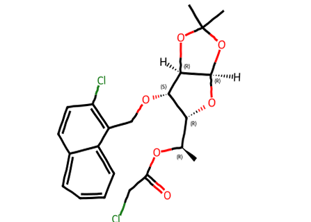 C[C@@H](OC(=O)CCl)[C@H]1O[C@@H]2OC(C)(C)O[C@@H]2[C@H]1OCc1c(Cl)ccc2ccccc12